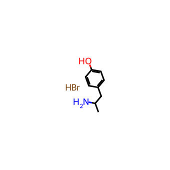 Br.CC(N)Cc1ccc(O)cc1